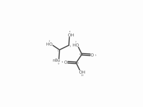 CCCCC(O)CO.O=C(O)C(=O)O